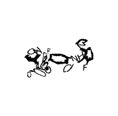 O=CON(c1ccon1)S(=O)(=O)c1cc(Cl)c(NCc2c(F)cccc2CN2CCC2)cc1F